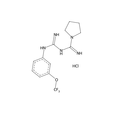 Cl.N=C(NC(=N)N1CCCC1)Nc1cccc(OC(F)(F)F)c1